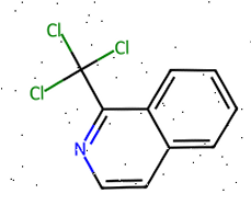 ClC(Cl)(Cl)c1nccc2ccccc12